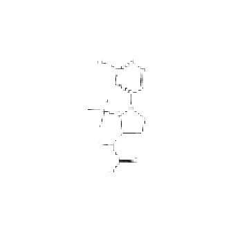 CN(C(=O)O)C1CCN(c2cnnc(Cl)c2)[C@@H]1C(C)(C)C